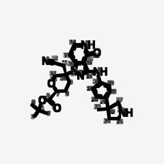 CC(C)(C)OC(=O)[C@@H]1CC[C@@](CC#N)(n2nc(Nc3ccc(C4(C)CCNC4)cc3)c3c(=O)[nH]ccc32)CO1